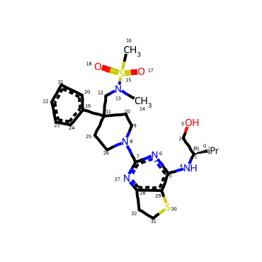 CC(C)[C@H](CO)Nc1nc(N2CCC(CN(C)S(C)(=O)=O)(c3ccccc3)CC2)nc2c1SCC2